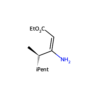 CCC[C@@H](C)[C@@H](C)/C(N)=C\C(=O)OCC